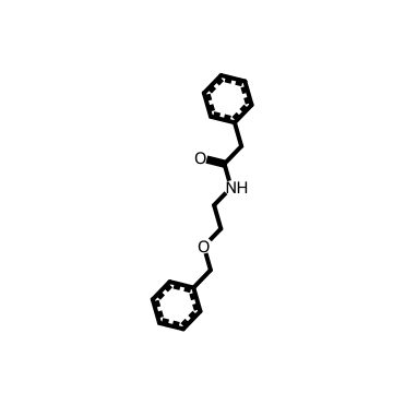 O=C(Cc1ccccc1)NCCOCc1ccccc1